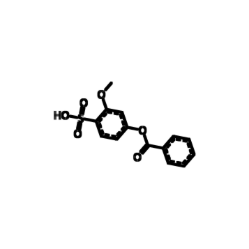 COc1cc(OC(=O)c2ccccc2)ccc1S(=O)(=O)O